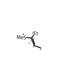 C/[C]=C(\CC)SC